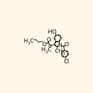 CCCCOC(=O)[C@@H](C)c1c(C)n(C(=O)c2ccc(Cl)cc2)c2ccc(O)cc12